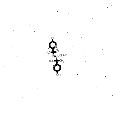 CC(C)(/N=N/C(C)(C)C1=NCC(O)CC1)C1=NCC(O)CC1.Cl.Cl